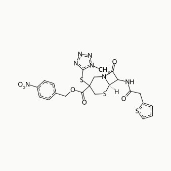 Cn1nnnc1SC1(C(=O)OCc2ccc([N+](=O)[O-])cc2)CS[C@@H]2C(NC(=O)Cc3cccs3)C(=O)N2C1